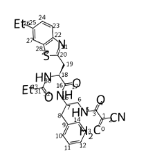 C=C(C#N)C(=O)NCC(Cc1ccccc1)NC(=O)[C@H](Cc1nc2ccc(CC)cc2s1)NC(=O)CC